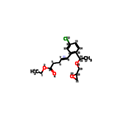 CCOC(=O)CC/C=C/c1cc(Cl)ccc1[C@@H](C)OCC1CO1